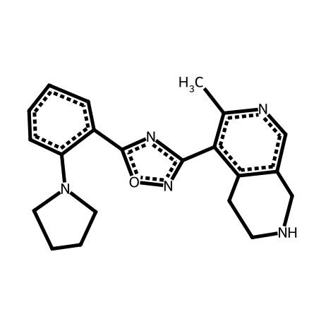 Cc1ncc2c(c1-c1noc(-c3ccccc3N3CCCC3)n1)CCNC2